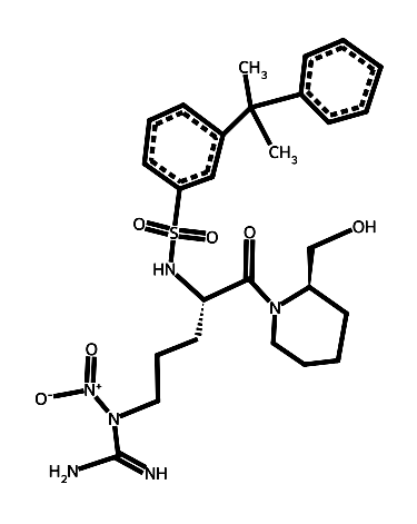 CC(C)(c1ccccc1)c1cccc(S(=O)(=O)N[C@@H](CCCN(C(=N)N)[N+](=O)[O-])C(=O)N2CCCC[C@@H]2CO)c1